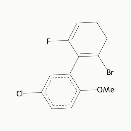 COc1ccc(Cl)cc1C1=C(Br)CCC=C1F